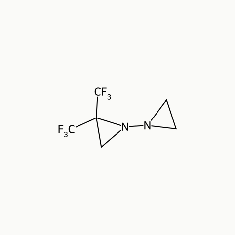 FC(F)(F)C1(C(F)(F)F)CN1N1CC1